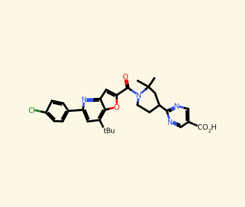 CC(C)(C)c1cc(-c2ccc(Cl)cc2)nc2cc(C(=O)N3CCC(c4ncc(C(=O)O)cn4)CC3(C)C)oc12